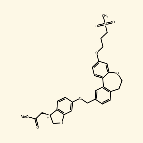 COC(=O)C[C@@H]1COc2cc(OCc3ccc4c(c3)-c3ccc(OCCCS(C)(=O)=O)cc3OCC4)ccc21